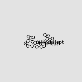 CCCCCCCC1(CCCCCCC)c2ccccc2-c2c1c1c(c3c2oc2ccccc23)-c2ccc(N(c3ccc4c(c3)C3(c5ccccc5-c5ccccc53)c3cc5c(cc3-4)C3(c4ccccc4-c4ccccc43)c3ccc4oc6ccccc6c4c3-5)c3cccc4ccccc34)cc2C1(CCCCCCC)CCCCCCC